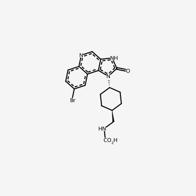 O=C(O)NC[C@H]1CC[C@H](n2c(=O)[nH]c3cnc4ccc(Br)cc4c32)CC1